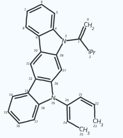 C=C(C(C)C)n1c2ccccc2c2cc3c4ccccc4n(C(/C=C\C)=C/C)c3cc21